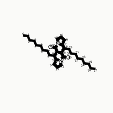 CCCCCCCCCc1c2c(=O)n3cccc3c(CCCCCCCCC)c2c(=O)n2cccc12